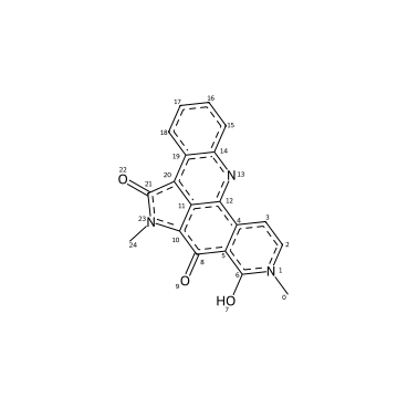 Cn1ccc2c(c1O)c(=O)c1c3c2nc2ccccc2c3c(=O)n1C